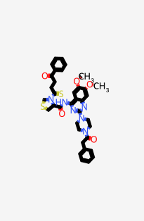 COc1cc2nc(N3CCN(C(=O)Cc4ccccc4)CC3)nc(NC(=O)C3CSCN3C(=S)CCC(=O)c3ccccc3)c2cc1OC